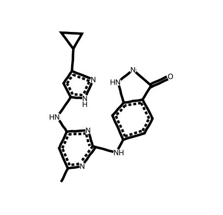 Cc1cc(Nc2cc(C3CC3)n[nH]2)nc(Nc2ccc3c(c2)N[N]C3=O)n1